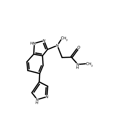 CNC(=O)CN(C)c1n[nH]c2ccc(-c3cn[nH]c3)cc12